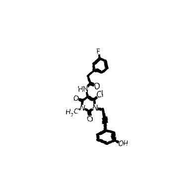 Cn1c(=O)c(NC(=O)Cc2cccc(F)c2)c(Cl)n(CC#Cc2cccc(O)c2)c1=O